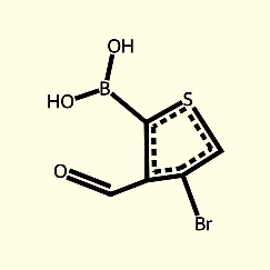 O=Cc1c(Br)csc1B(O)O